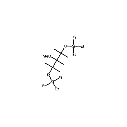 CC[Si](CC)(CC)OC(C)(C)C(C)(OC)C(C)(C)O[Si](CC)(CC)CC